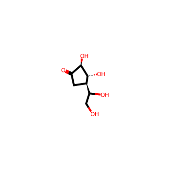 O=C1C[C@H](C(O)CO)[C@@H](O)[C@@H]1O